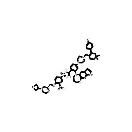 CC1(C)CCC(CN2CCN(c3ccc(C(=O)NS(=O)(=O)c4ccc(OC[C@@H]5CN(C6COC6)CCO5)c([N+](=O)[O-])c4)c(N4CCCOc5nc6[nH]ccc6cc54)c3)CC2)=C(c2ccc(Cl)cc2)C1